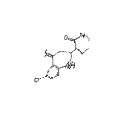 CCC(C(N)=O)C1CC(=S)c2cc(Cl)ccc2N1